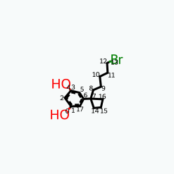 Oc1cc(O)cc(C2(CCCCCBr)CCC2)c1